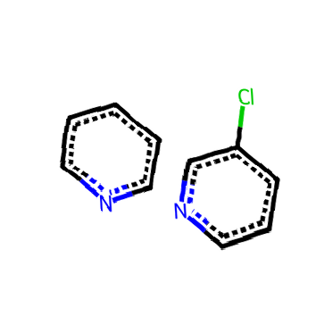 Clc1cccnc1.c1ccncc1